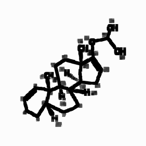 C[C@]12C=CCC[C@H]1CC[C@@H]1[C@@H]2CC[C@]2(C)C(OC(O)O)=CC[C@@H]12